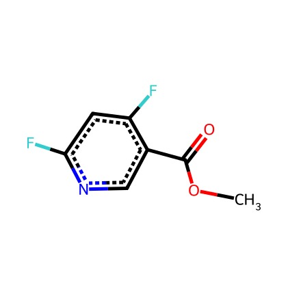 COC(=O)c1cnc(F)cc1F